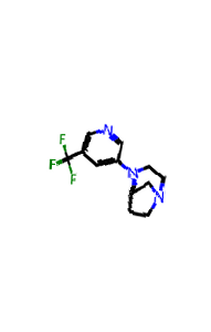 FC(F)(F)c1cncc(N2CCN3CCC2C3)c1